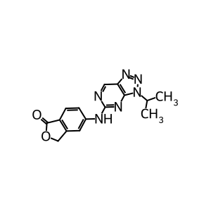 CC(C)n1nnc2cnc(Nc3ccc4c(c3)COC4=O)nc21